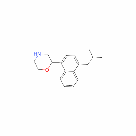 CC(C)Cc1ccc(C2CNCCO2)c2ccccc12